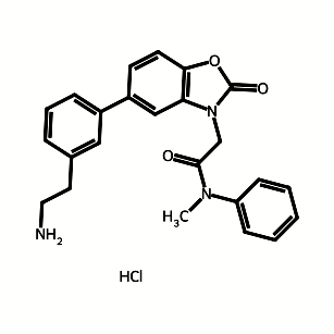 CN(C(=O)Cn1c(=O)oc2ccc(-c3cccc(CCN)c3)cc21)c1ccccc1.Cl